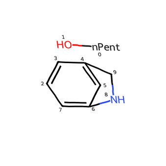 CCCCCO.c1cc2cc(c1)NC2